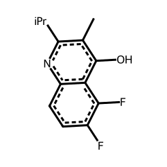 Cc1c(C(C)C)nc2ccc(F)c(F)c2c1O